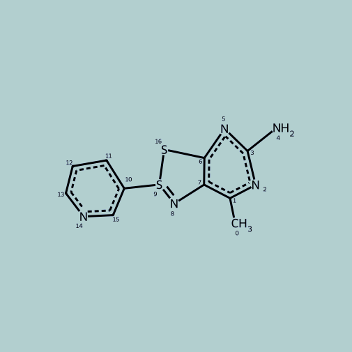 Cc1nc(N)nc2c1N=S(c1cccnc1)S2